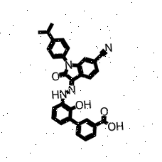 CC(C)c1ccc(N2C(=O)C(=NNc3cccc(-c4cccc(C(=O)O)c4)c3O)c3ccc(C#N)cc32)cc1